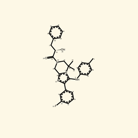 Cc1ccc(Nc2c(-c3cccc(F)c3)nc3n2C(C)(C)CN(C(=O)[C@@H](O)Cc2ccccc2)C3)cc1